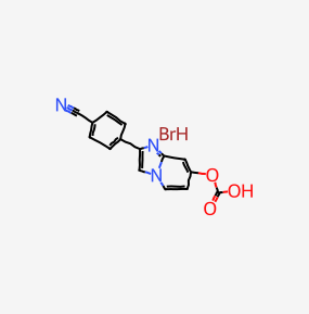 Br.N#Cc1ccc(-c2cn3ccc(OC(=O)O)cc3n2)cc1